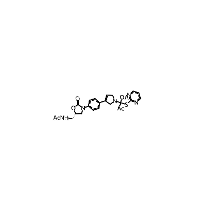 CC(=O)NC[C@H]1CN(c2ccc(C3=CCN(C(OC(C)=O)(Sc4ncccn4)C(C)=O)C3)cc2)C(=O)O1